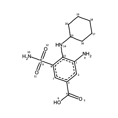 Nc1cc(C(=O)O)cc(S(N)(=O)=O)c1NC1CCCCC1